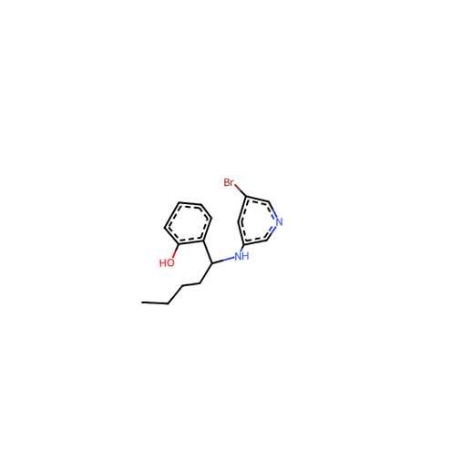 CCCCC(Nc1cncc(Br)c1)c1ccccc1O